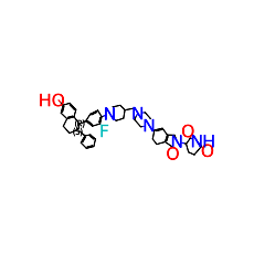 O=C1CCC(N2CC3=C(CCC(N4CCN(CC5CCN(c6ccc([C@@H]7c8ccc(O)cc8CC[C@@H]7c7ccccc7)cc6F)CC5)CC4)=C3)C2=O)C(=O)N1